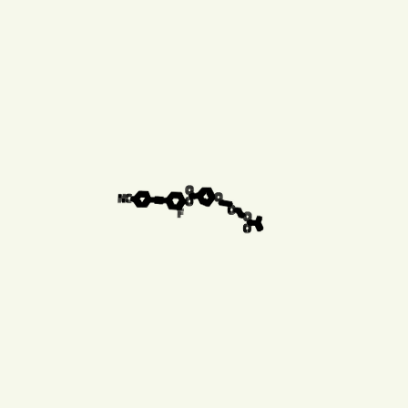 C=C(C)C(=O)OCCOCCOc1ccc(C(=O)Oc2ccc(C#Cc3ccc(C#N)cc3)cc2F)cc1